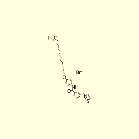 CCCCCCCCCCCCCCOc1ccc(NC(=O)c2cccc(C[n+]3ccsc3)c2)cc1.[Br-]